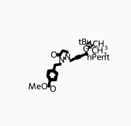 CCCCCC(C#CCN1CCC(=O)N1CCc1ccc(C(=O)OC)cc1)O[Si](C)(C)C(C)(C)C